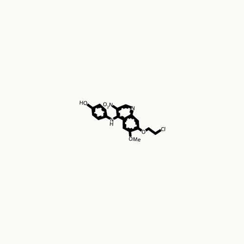 COc1cc2c(Nc3ccc(O)cc3)c([N+](=O)[O-])cnc2cc1OCCCl